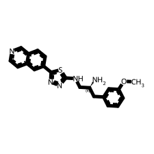 COc1cccc(C[C@@H](N)CNc2nnc(-c3ccc4cnccc4c3)s2)c1